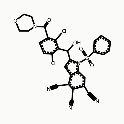 N#Cc1cc2c(cc(C(O)c3c(Cl)ccc(C(=O)N4CCOCC4)c3Cl)n2S(=O)(=O)c2ccccc2)c(C#N)c1C#N